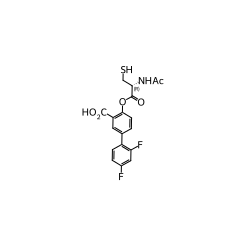 CC(=O)N[C@@H](CS)C(=O)Oc1ccc(-c2ccc(F)cc2F)cc1C(=O)O